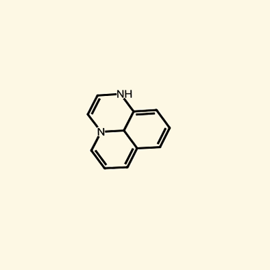 C1=CC2=CC=CN3C=CNC(=C1)C23